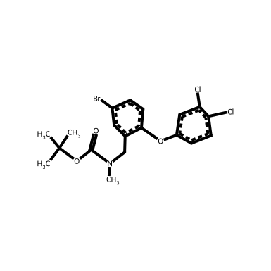 CN(Cc1cc(Br)ccc1Oc1ccc(Cl)c(Cl)c1)C(=O)OC(C)(C)C